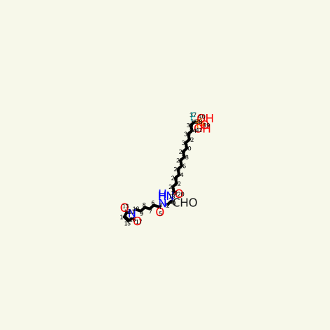 O=CC(CNC(=O)CCCCCN1C(=O)C=CC1=O)NC(=O)CCCCCCCCCCCCCCCC(F)P(=O)(O)O